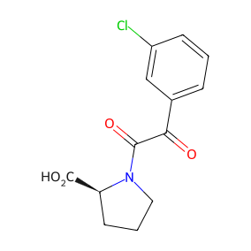 O=C(C(=O)N1CCC[C@H]1C(=O)O)c1cccc(Cl)c1